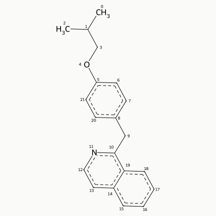 CC(C)COc1ccc(Cc2nccc3ccccc23)cc1